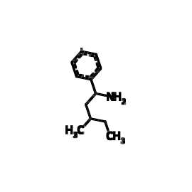 CCC(C)CC(N)c1cc[c]cc1